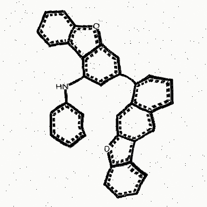 c1ccc(Nc2cc(-c3cccc4cc5c(cc34)oc3ccccc35)cc3oc4ccccc4c23)cc1